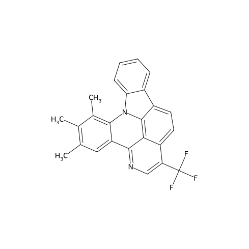 Cc1cc2c3ncc(C(F)(F)F)c4ccc5c6ccccc6n(c2c(C)c1C)c5c43